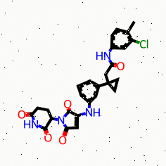 Cc1ccc(NC(=O)CC2(c3cccc(NC4=CC(=O)N(C5CCC(=O)NC5=O)C4=O)c3)CC2)cc1Cl